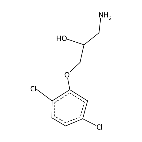 NCC(O)COc1cc(Cl)ccc1Cl